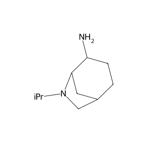 CC(C)N1CC2CCC(N)C1C2